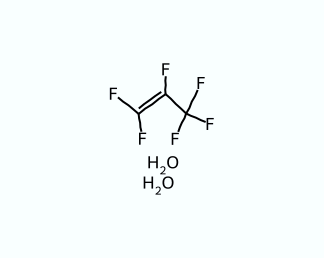 FC(F)=C(F)C(F)(F)F.O.O